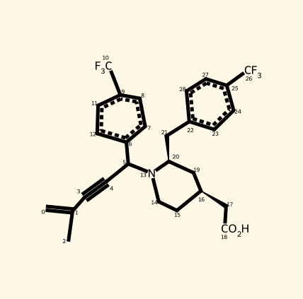 C=C(C)C#CC(c1ccc(C(F)(F)F)cc1)N1CC[C@H](CC(=O)O)C[C@@H]1Cc1ccc(C(F)(F)F)cc1